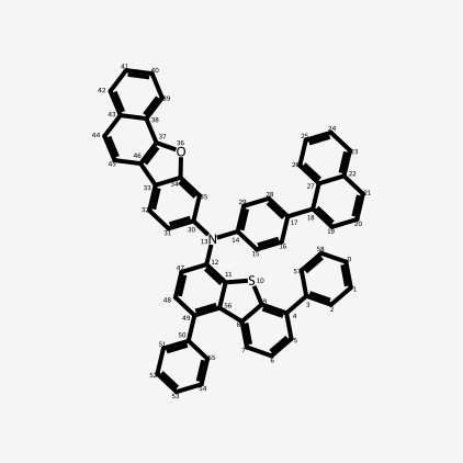 c1ccc(-c2cccc3c2sc2c(N(c4ccc(-c5cccc6ccccc56)cc4)c4ccc5c(c4)oc4c6ccccc6ccc54)ccc(-c4ccccc4)c23)cc1